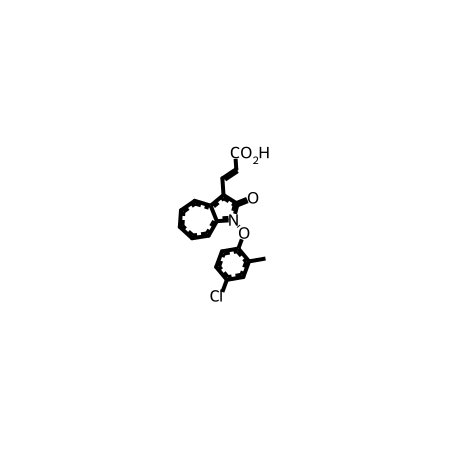 Cc1cc(Cl)ccc1On1c2cccccc-2c(C=CC(=O)O)c1=O